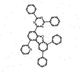 c1ccc(-c2cc(-c3ccccc3)c3oc4c(-c5nc(-c6ccccc6)nc(-c6ccccc6)n5)ccc(-c5ccccn5)c4c3c2)cc1